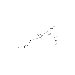 COC(=O)CNC(=O)[C@H](CSC1CC(=O)N(CCC(=O)NC(C)(C)COC(C)CC(=O)NCCN)C1=O)NC(=O)CC[C@H](NC(=O)OC(C)(C)C)C(=O)O